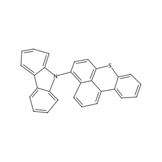 c1ccc2c(c1)Sc1ccc(-n3c4ccccc4c4ccccc43)c3cccc-2c13